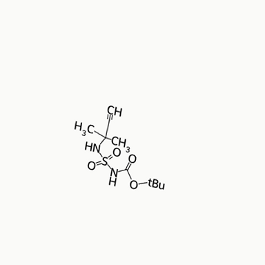 C#CC(C)(C)NS(=O)(=O)NC(=O)OC(C)(C)C